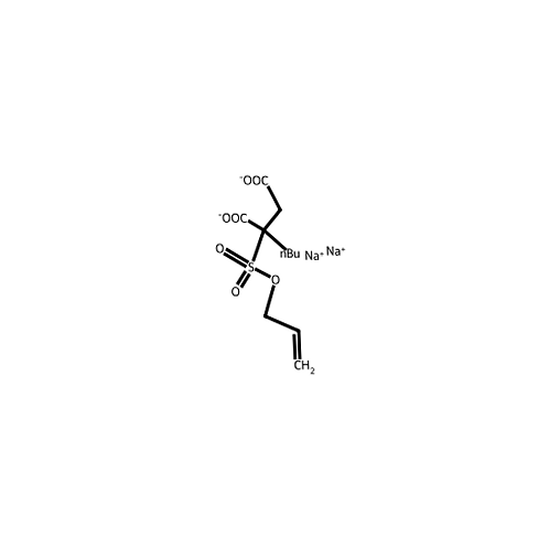 C=CCOS(=O)(=O)C(CCCC)(CC(=O)[O-])C(=O)[O-].[Na+].[Na+]